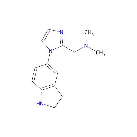 CN(C)Cc1nccn1-c1ccc2c(c1)CCN2